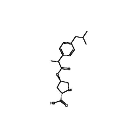 CC(C)Cc1ccc(C(C)C(=O)O[C@H]2CN[C@H](C(=O)O)C2)cc1